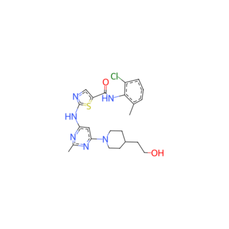 Cc1nc(Nc2ncc(C(=O)Nc3c(C)cccc3Cl)s2)cc(N2CCC(CCO)CC2)n1